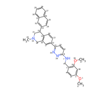 COc1ccc(CNc2ccc(-c3ccc4c(c3)CN(C)CC4c3ccc4ccccc4c3)nn2)c(OC)c1